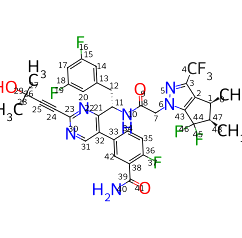 C[C@@H]1c2c(C(F)(F)F)nn(CC(=O)N[C@@H](Cc3cc(F)cc(F)c3)c3nc(C#CC(C)(C)O)ncc3-c3ccc(F)c(C(N)=O)c3)c2C(F)(F)[C@@H]1C